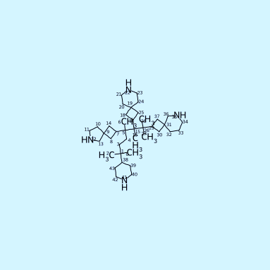 CC(C)(CCC(C)(C1CC2(CCNC2)C1)C(C)(C1CC2(CCNCC2)C1)C(C)(C)C1CC2(CCCNC2)C1)C1CCNCC1